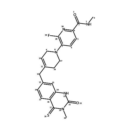 CNC(=O)c1ccc(N2CC=C(Cc3ccc4c(=S)n(C)c(=O)[nH]c4c3)CC2)c(F)n1